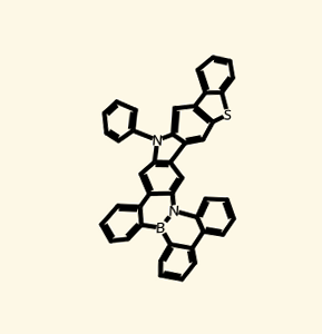 c1ccc(-n2c3cc4c(cc3c3cc5sc6ccccc6c5cc32)N2B(c3ccccc3-c3ccccc32)c2ccccc2-4)cc1